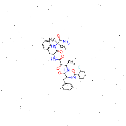 CC(NC(=O)[C@H](Cc1ccccc1)NC(=O)c1ccccc1F)C(=O)C(=O)NC(Cc1ccccc1)C(=O)NC(C)(C)C(N)=O